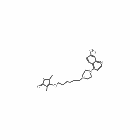 CC1=C(OCCCCCCN2CCN(c3ccnc4cc(C(F)(F)F)ccc34)CC2)C(C)SC1=O